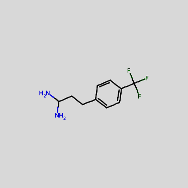 NC(N)CCc1ccc(C(F)(F)F)cc1